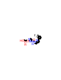 O=C(Nc1ccnc(OCC(O)CO)n1)N1CCc2ccc(-c3cccc(C(F)(F)F)c3)nc21